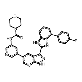 O=C(Nc1cncc(-c2cnc3[nH]nc(-c4nc5c(-c6ccc(F)cc6)cccc5[nH]4)c3c2)c1)N1CCOCC1